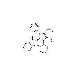 C=Cc1c(/C=C\C)n(-c2ccccc2)c2c3[nH]c4ccccc4c3c3ccccc3c12